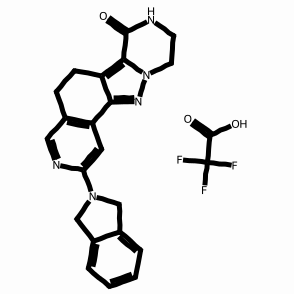 O=C(O)C(F)(F)F.O=C1NCCn2nc3c(c21)CCc1cnc(N2Cc4ccccc4C2)cc1-3